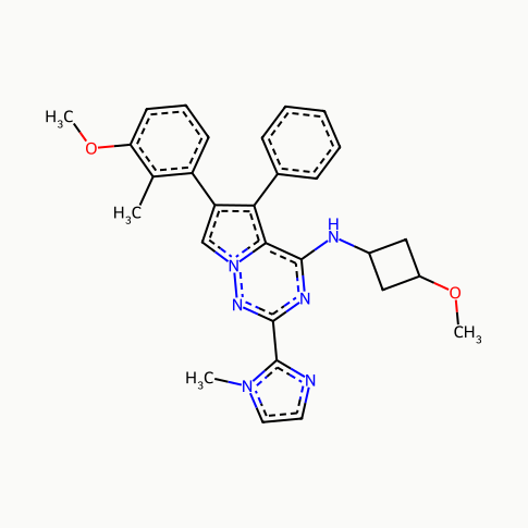 COc1cccc(-c2cn3nc(-c4nccn4C)nc(NC4CC(OC)C4)c3c2-c2ccccc2)c1C